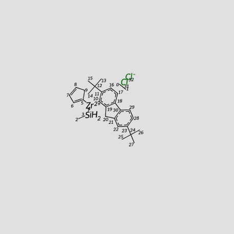 CC.C[SiH2][Zr+2]([C]1=CC=CC1)[c]1c(C(C)(C)C)ccc2c1Cc1cc(C(C)(C)C)ccc1-2.[Cl-].[Cl-]